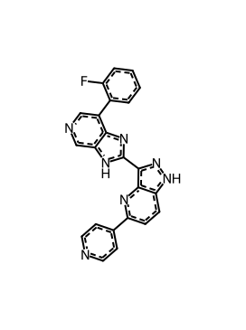 Fc1ccccc1-c1cncc2[nH]c(-c3n[nH]c4ccc(-c5ccncc5)nc34)nc12